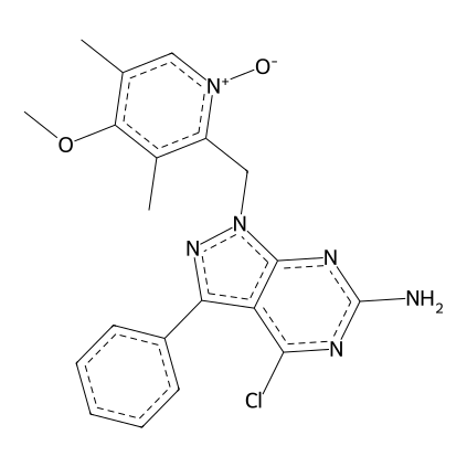 COc1c(C)c[n+]([O-])c(Cn2nc(-c3ccccc3)c3c(Cl)nc(N)nc32)c1C